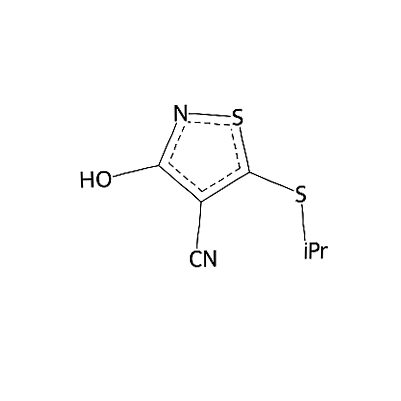 CC(C)Sc1snc(O)c1C#N